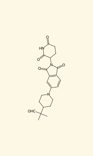 CC(C)(C=O)C1CCN(c2ccc3c(c2)C(=O)N(C2CCC(=O)NC2=O)C3=O)CC1